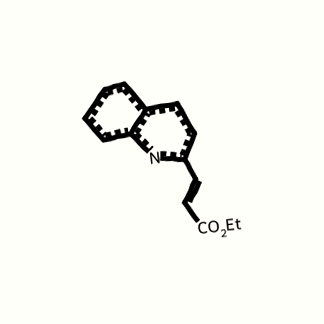 CCOC(=O)C=Cc1ccc2ccccc2n1